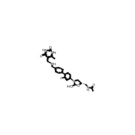 CC(=O)NC[C@H]1CN(c2ccc(-c3ccc(CNCc4c(C)[nH]c(=O)[nH]c4=O)cc3)c(F)c2)C(O)O1